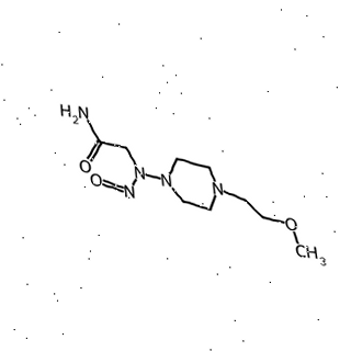 COCCN1CCN(N(CC(N)=O)N=O)CC1